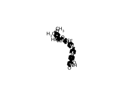 COC[C@]1(C)CCc2c(C(=O)Nc3cnn([C@@H]4CCN(CC5CCN(c6ccc(C7CCC(=O)NC7=O)cc6)CC5)C[C@H]4F)c3)n[nH]c2C1